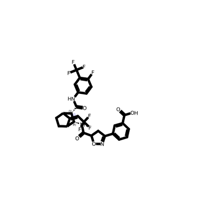 O=C(O)c1cccc(C2=NOC(C(=O)N[C@@H]3C4CCC(/C4=C/C(F)(F)F)[C@@H]3C(=O)Nc3ccc(F)c(C(F)(F)F)c3)C2)c1